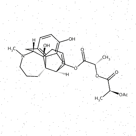 CC(=O)O[C@@H](C)C(=O)O[C@@H](C)C(=O)OC1=CC[C@@]2(O)[C@H]3Cc4ccc(O)c5c4[C@@]2(CCCN3C)[C@H]1O5